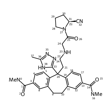 CNC(=O)c1ccc2c(c1)CCc1cc(C(=O)NC)ccc1C2(CCNCC(=O)N1CCC[C@H]1C#N)c1nnc(C)[nH]1